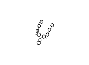 Cc1cc(C2(c3ccc(OCCOCC4CO4)c(C)c3)Cc3ccccc3C2)ccc1OCCOCC1CO1